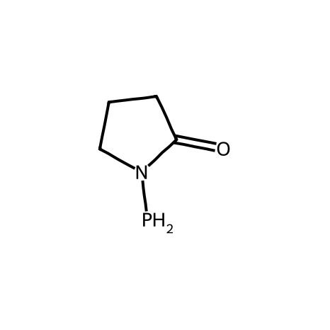 O=C1CCCN1P